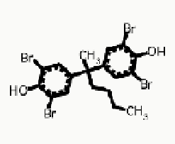 CCCCC(C)(c1cc(Br)c(O)c(Br)c1)c1cc(Br)c(O)c(Br)c1